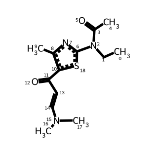 CCN(C(C)=O)c1nc(C)c(C(=O)C=CN(C)C)s1